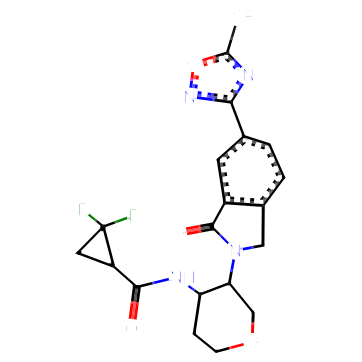 O=C(NC1CCOCC1N1Cc2ccc(-c3noc(C(F)(F)F)n3)cc2C1=O)C1CC1(F)F